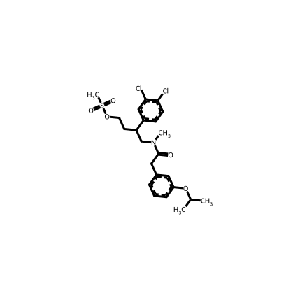 CC(C)Oc1cccc(CC(=O)N(C)CC(CCOS(C)(=O)=O)c2ccc(Cl)c(Cl)c2)c1